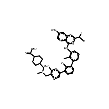 COC(=O)C1CCC(CN(C)Cc2ncc(-c3cccc(-c4cccc(Nc5nc(C(F)F)nc6cc(C=O)cnc56)c4C)c3Cl)nc2OC)CC1